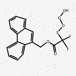 O=C(OCc1cc2ccccc2c2ccccc12)C(F)(F)SOOO